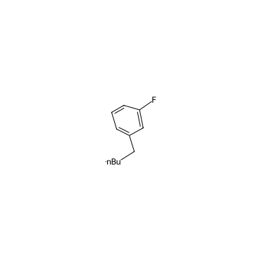 CCC[CH]Cc1cccc(F)c1